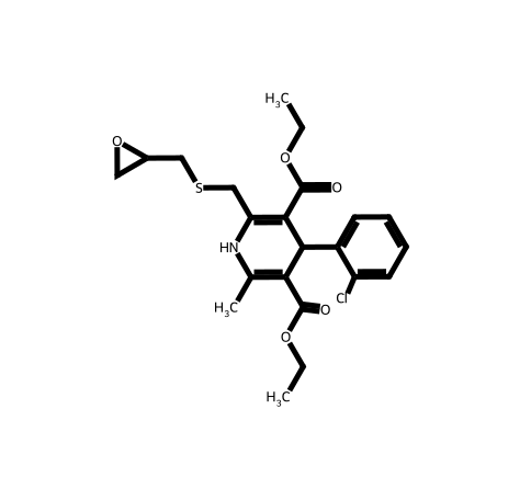 CCOC(=O)C1=C(C)NC(CSCC2CO2)=C(C(=O)OCC)C1c1ccccc1Cl